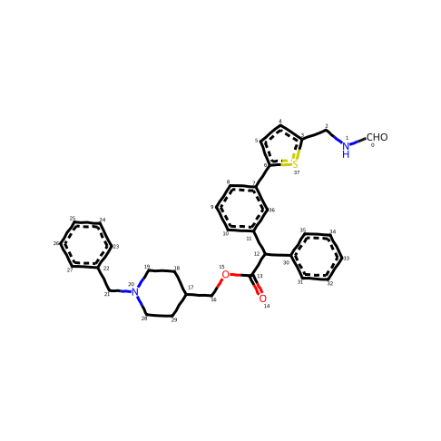 O=CNCc1ccc(-c2cccc(C(C(=O)OCC3CCN(Cc4ccccc4)CC3)c3ccccc3)c2)s1